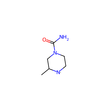 CC1CN(C(N)=O)CC[N]1